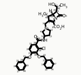 C[C@@H](O)[C@H]1C(=O)N2C(C(=O)O)=C(CN3CCC(NC(=O)c4ccc(OCc5ccccc5)c(OCc5ccccc5)c4Cl)C3)[C@H](C)[C@H]12